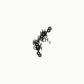 COc1cc2c(cc1OCCCOc1cc3c(cc1OC)C(=O)N1C=C(c4ccc5ccccc5c4)C[C@H]1C=N3)N=C[C@@H]1CC(c3ccc4ccccc4c3)=CN1C2=O